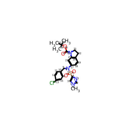 Cn1cnc(S(=O)(=O)N(Cc2ccc(Cl)cc2)c2ccc3c(c2)N(C(=O)OC(C)(C)C)CC3)c1